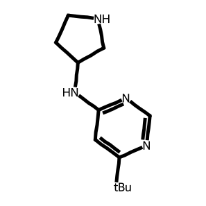 CC(C)(C)c1cc(NC2CCNC2)ncn1